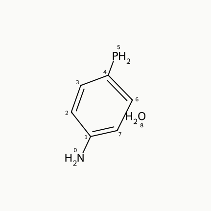 Nc1ccc(P)cc1.O